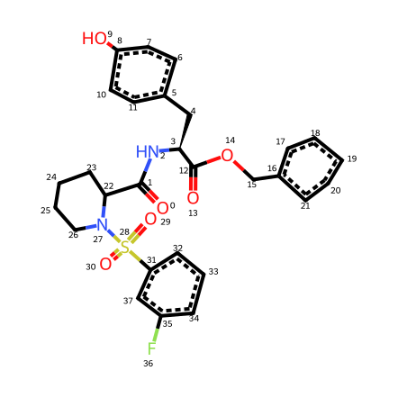 O=C(N[C@@H](Cc1ccc(O)cc1)C(=O)OCc1ccccc1)C1CCCCN1S(=O)(=O)c1cccc(F)c1